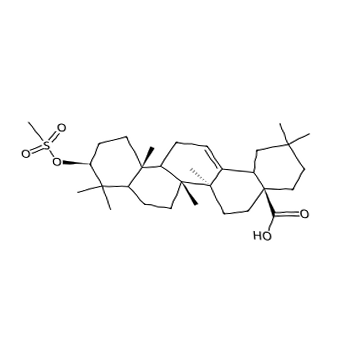 CC1(C)CC[C@]2(C(=O)O)CC[C@]3(C)C(=CCC4[C@@]5(C)CC[C@H](OS(C)(=O)=O)C(C)(C)C5CC[C@]43C)C2C1